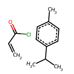 C=CC(=O)Cl.Cc1ccc(C(C)C)cc1